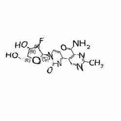 Cc1ncc(-c2ccn([C@H]3O[C@H](CO)[C@@H](O)[C@H]3F)c(=O)n2)c(C(N)=O)n1